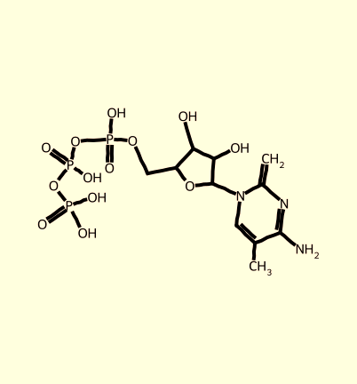 C=C1N=C(N)C(C)=CN1C1OC(COP(=O)(O)OP(=O)(O)OP(=O)(O)O)C(O)C1O